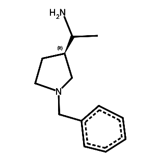 CC(N)[C@@H]1CCN(Cc2ccccc2)C1